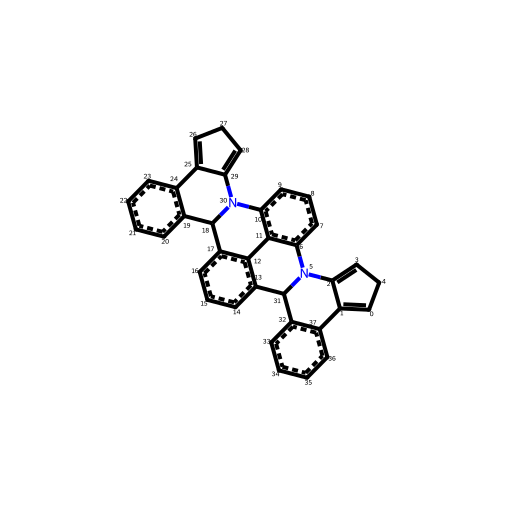 C1=C2C(=CC1)N1c3cccc4c3-c3c(cccc3C3c5ccccc5C5=CCC=C5N43)C1c1ccccc12